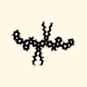 CCCCCCCCC1(CCCCCCCC)c2cc3c(cc2-c2cc4c(cc21)-c1cc2c(cc1C4(CCCCCCCC)CCCCCCCC)-c1c(cc(-c4ccc5oc6ccccc6c5c4)c4ccccc14)C2(C)C)C(C)(C)c1cc(-c2ccc4oc5ccccc5c4c2)c2ccccc2c1-3